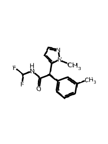 Cc1cccc(C(C(=O)NC(F)F)c2ccnn2C)c1